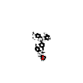 COc1ccc([C@H](Cc2c(Cl)cncc2Cl)OC(=O)c2ccc(CN(C(=O)O[C@H]3CN4CCC3CC4)c3cc(F)ccc3F)cc2)cc1OC